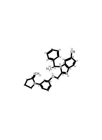 C=C1CCCN1c1cccc(OCc2nc3ccc(C#N)cc3n2[C@@H](C)c2ccccc2)c1